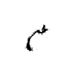 C[C@@H](NC(=O)c1cccc(NC2(c3nnc(-c4ccncc4)[nH]3)CCNCC2)c1)c1cccc(OCCCCCOCCCOCC(=O)N2CCN(c3ccc4c(c3)CN(C3CCC(=O)NC3=O)C4=O)CC2)c1